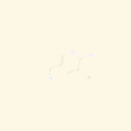 Cc1nc(N)c(C#N)cc1CNCl